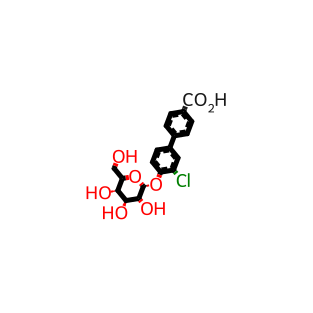 O=C(O)c1ccc(-c2ccc(O[C@H]3OC(CO)[C@@H](O)[C@H](O)C3O)c(Cl)c2)cc1